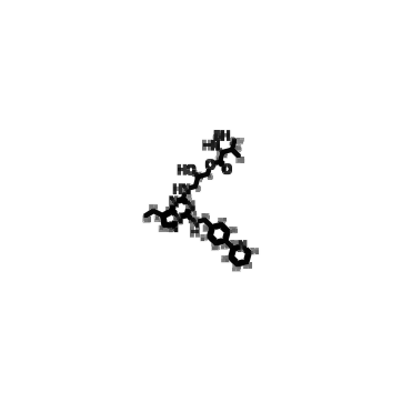 BN[C@@H](C(=O)OC[C@H](O)CNc1nc(NCc2ccc(-c3ccccn3)cc2)n2ncc(CC)c2n1)C(C)C